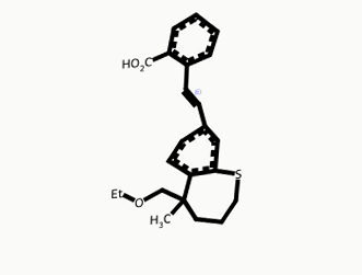 CCOCC1(C)CCCSc2cc(/C=C/c3ccccc3C(=O)O)ccc21